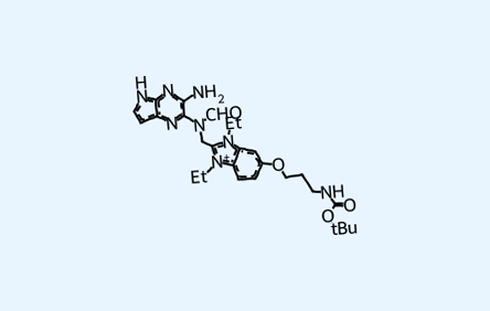 CCn1c(CN(C=O)c2nc3cc[nH]c3nc2N)[n+](CC)c2ccc(OCCCNC(=O)OC(C)(C)C)cc21